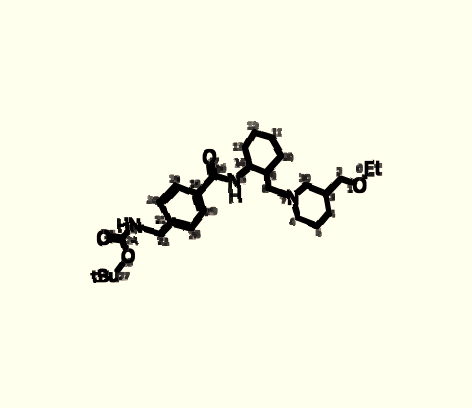 CCOCC1CCCN(CC2CCCCC2NC(=O)c2ccc(CNC(=O)OC(C)(C)C)cc2)C1